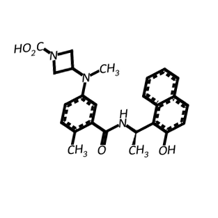 Cc1ccc(N(C)C2CN(C(=O)O)C2)cc1C(=O)N[C@H](C)c1c(O)ccc2ccccc12